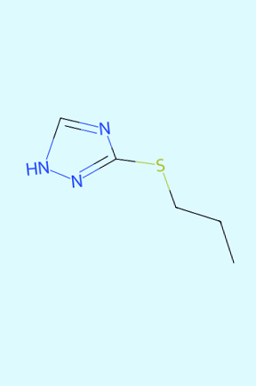 CCCSc1nc[nH]n1